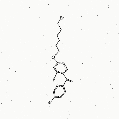 C=C(c1ccc(Br)cc1)c1ccc(OCCCCCCBr)cc1F